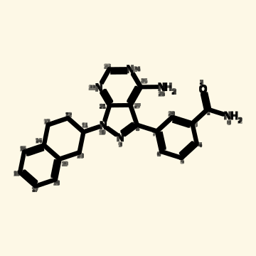 NC(=O)c1cccc(-c2nn(C3CCc4ccccc4C3)c3ncnc(N)c23)c1